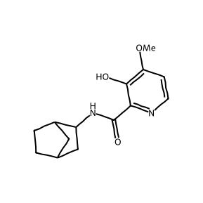 COc1ccnc(C(=O)NC2CC3CCC2C3)c1O